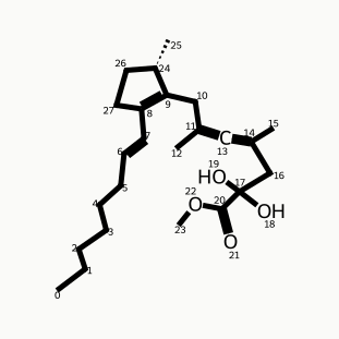 CCCCCC/C=C/C1=C(CC(C)=C=C(C)CC(O)(O)C(=O)OC)[C@@H](C)CC1